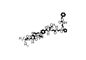 COC(=O)[C@H](CCC(=O)NCCOC1(OCCNC(=O)OCc2ccccc2)CCCC1)NC(=O)c1ccc(N(Cc2cnc3nc(NC(=O)C(C)C)[nH]c(=O)c3n2)C(=O)C(F)(F)F)cc1